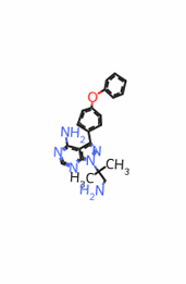 CC(C)(CN)n1nc(-c2ccc(Oc3ccccc3)cc2)c2c(N)ncnc21